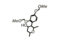 COCOc1ccc(C2C(O)CC(C)OC2C)c(OCOC)c1